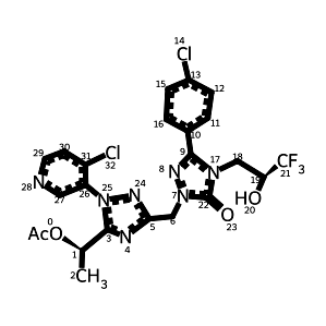 CC(=O)O[C@H](C)c1nc(Cn2nc(-c3ccc(Cl)cc3)n(C[C@H](O)C(F)(F)F)c2=O)nn1-c1cnccc1Cl